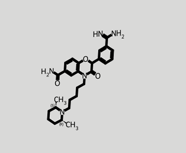 C[C@@H]1CCC[C@H](C)N1CCCCCN1C(=O)C(c2cccc(C(=N)N)c2)Oc2ccc(C(N)=O)cc21